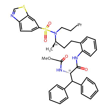 COC(=O)N[C@H](C(=O)Nc1ccccc1CC[C@@H](C)N(CCC(C)C)S(=O)(=O)c1ccc2ncsc2c1)C(c1ccccc1)c1ccccc1